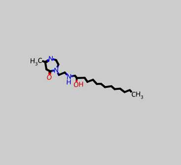 CCCCCCCCCCCCC(O)CNCCN1CCN=C(C)CC1=O